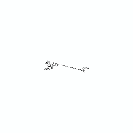 CC(=O)N(C)c1c(I)c(C(=O)Nc2ccc(CCCCCCCCCCCCCCCCCCC(=O)OC(C)(C)C)cc2)c(I)c(N(C)C(C)=O)c1I